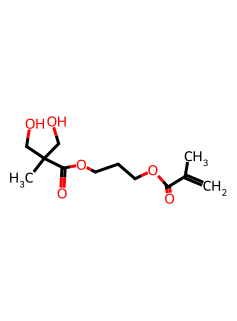 C=C(C)C(=O)OCCCOC(=O)C(C)(CO)CO